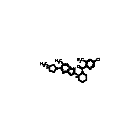 Cc1cn2nc([C@@H]3CCCCN3C(=O)c3ncc(Cl)cc3C(F)(F)F)cc2nc1N1CC[C@H](C)C1